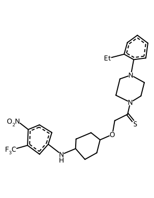 CCc1ccccc1N1CCN(C(=S)COC2CCC(Nc3ccc([N+](=O)[O-])c(C(F)(F)F)c3)CC2)CC1